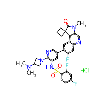 CN1C(=O)C2(CCC2)c2c1cnc1cc(F)c(-c3cnc(N4CC(N(C)C)C4)c(NS(=O)(=O)c4ccc(F)cc4F)c3)cc21.Cl